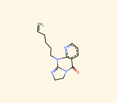 C=CCCCCN1C2=NCCN2C(=O)c2cccnc21